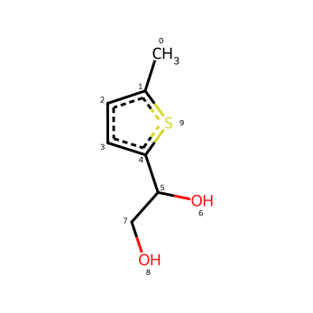 Cc1ccc(C(O)CO)s1